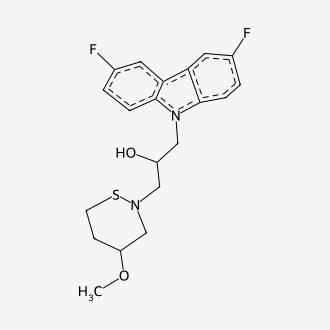 COC1CCSN(CC(O)Cn2c3ccc(F)cc3c3cc(F)ccc32)C1